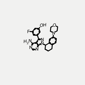 Nc1ncnc2c1c(-c1cc(O)cc(F)c1)nn2C1CCCc2ccc(N3CCOCC3)cc21